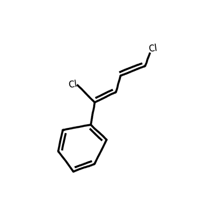 ClC=CC=C(Cl)c1ccccc1